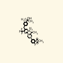 CC(C)C1CN(c2ccc(F)c(S(C)(=O)=O)c2)CCN1c1ncc(Cc2ccc(C(C)(C)O)cc2)c(C(F)(F)F)n1